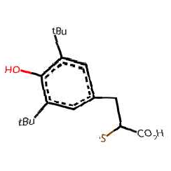 CC(C)(C)c1cc(CC([S])C(=O)O)cc(C(C)(C)C)c1O